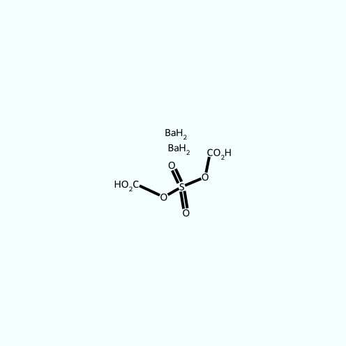 O=C(O)OS(=O)(=O)OC(=O)O.[BaH2].[BaH2]